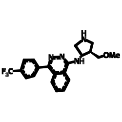 COC[C@@H]1CNC[C@H]1Nc1nnc(-c2ccc(C(F)(F)F)cc2)c2ccccc12